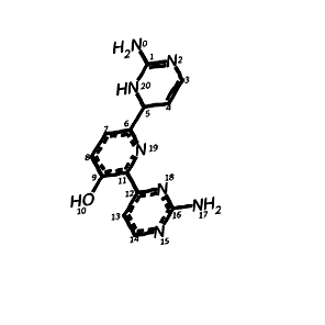 NC1=NC=CC(c2ccc(O)c(-c3ccnc(N)n3)n2)N1